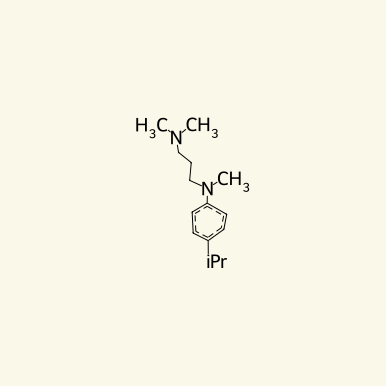 CC(C)c1ccc(N(C)CCCN(C)C)cc1